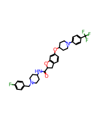 O=C(NC1CCN(Cc2ccc(F)cc2)CC1)C1Cc2ccc(OC3CCN(c4ccc(C(F)(F)F)cc4)CC3)cc2O1